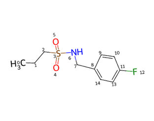 CCCS(=O)(=O)NCc1ccc(F)cc1